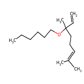 C=CC(C)(CCC=C(C)C)OCCCCCC